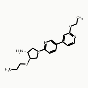 CCCO[C@@H]1CN(c2ccc(-c3ccnc(OCC)c3)cn2)C[C@H]1N